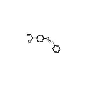 C=CC(Cl)c1ccc(OOOc2ccccc2)cc1